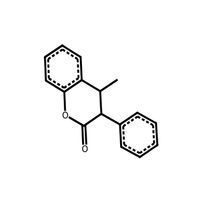 CC1c2ccccc2OC(=O)C1c1ccccc1